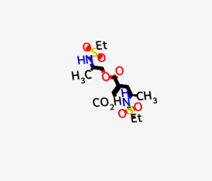 CCS(=O)(=O)N[C@H](C)COC(=O)C(=CC(=O)O)C[C@@H](C)NS(=O)(=O)CC